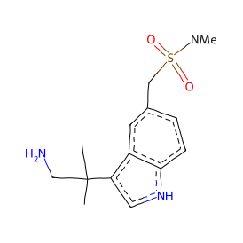 CNS(=O)(=O)Cc1ccc2[nH]cc(C(C)(C)CN)c2c1